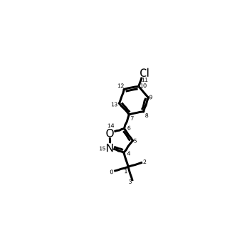 CC(C)(C)c1cc(-c2ccc(Cl)cc2)on1